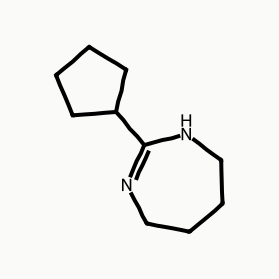 C1CCNC(C2CCCC2)=NC1